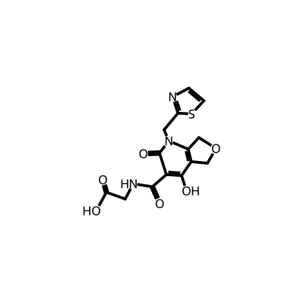 O=C(O)CNC(=O)c1c(O)c2c(n(Cc3nccs3)c1=O)COC2